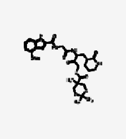 COc1cccc2[nH]c(C(=O)NCC(=O)NC(C[C@@H]3CCCNC3=O)C(=O)COC(=O)C3(C)COC(C)(C)OC3)cc12